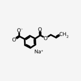 C=CCOC(=O)c1cccc(C(=O)[O-])c1.[Na+]